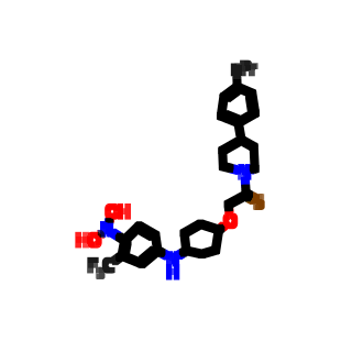 CCCc1ccc(C2CCN(C(=S)COC3CCC(Nc4ccc(N(O)O)c(C(F)(F)F)c4)CC3)CC2)cc1